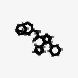 O=C(N[C@H]1CCC2CC3CC(C2)C1C3)c1cnn(C2CCCCC2)c1-n1cccn1